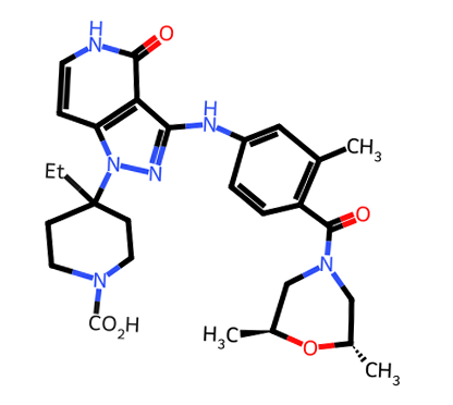 CCC1(n2nc(Nc3ccc(C(=O)N4C[C@H](C)O[C@@H](C)C4)c(C)c3)c3c(=O)[nH]ccc32)CCN(C(=O)O)CC1